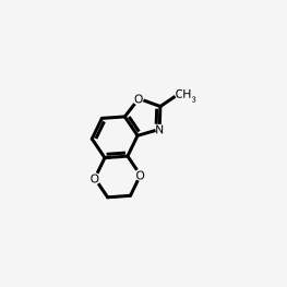 Cc1nc2c3c(ccc2o1)OCCO3